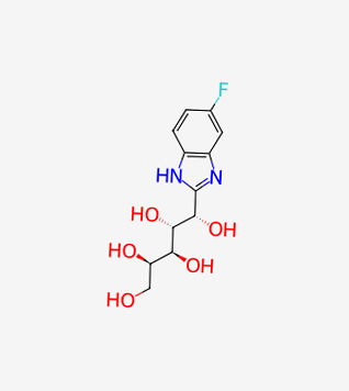 OC[C@@H](O)[C@H](O)[C@H](O)[C@@H](O)c1nc2cc(F)ccc2[nH]1